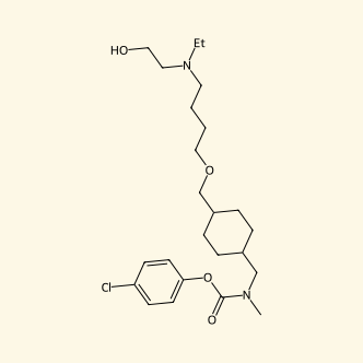 CCN(CCO)CCCCOCC1CCC(CN(C)C(=O)Oc2ccc(Cl)cc2)CC1